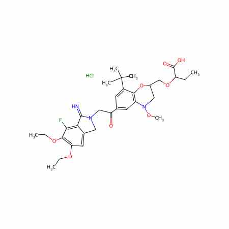 CCOc1cc2c(c(F)c1OCC)C(=N)N(CC(=O)c1cc3c(c(C(C)(C)C)c1)OC(COC(CC)C(=O)O)CN3OC)C2.Cl